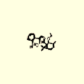 CCOC1C(C)CCC2C(C)(C)C12c1nc(-c2ccccc2[N+](=O)[O-])cs1